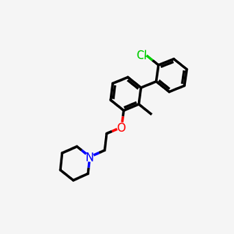 Cc1c(OCCN2CCCCC2)cccc1-c1ccccc1Cl